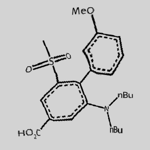 CCCCN(CCCC)c1cc(C(=O)O)cc(S(C)(=O)=O)c1-c1cccc(OC)c1